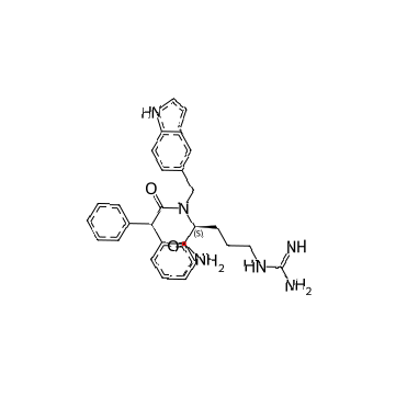 N=C(N)NCCC[C@@H](C(N)=O)N(Cc1ccc2[nH]ccc2c1)C(=O)C(c1ccccc1)c1ccccc1